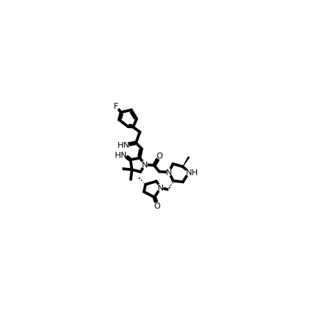 C[C@H]1CC(=O)N(C[C@H]2CN[C@H](C)CN2CC(=O)N2CC(C)(C)C(=N)/C2=C\C(=N)Cc2ccc(F)cc2)C1